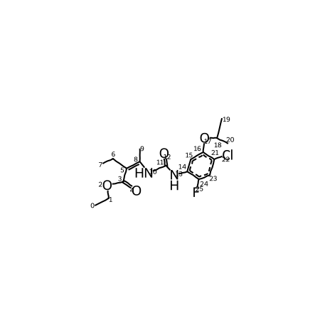 CCOC(=O)C(CC)=C(C)NC(=O)Nc1cc(OC(C)C)c(Cl)cc1F